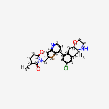 Cc1cc(Cl)cc(-c2ccnc3cc(CN4C(=O)CCC(C)C4=O)sc23)c1CC1CNCCO1